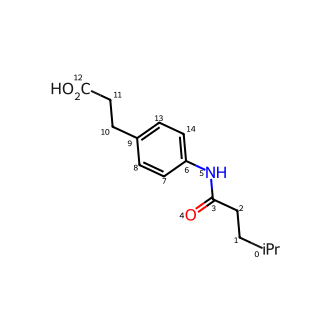 CC(C)CCC(=O)Nc1ccc(CCC(=O)O)cc1